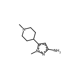 CN1CCC(c2cc(N)nn2C)CC1